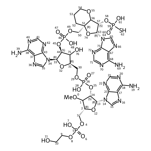 COC1[C@@H](COP(=O)(O)OCCO)O[C@@H](n2cnc3c(N)ncnc32)[C@H]1OP(=O)(O)OC[C@H]1O[C@@H](n2cnc3c(N)ncnc32)[C@@H](OP(=O)(O)OC[C@]23CCCOC2[C@H](OP(=O)(O)S)[C@H](n2cnc4c(N)ncnc42)O3)C1O